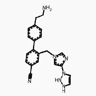 N#Cc1ccc(-c2ccc(CCN)cc2)c(Cn2cnc(N3C=CNN3)c2)c1